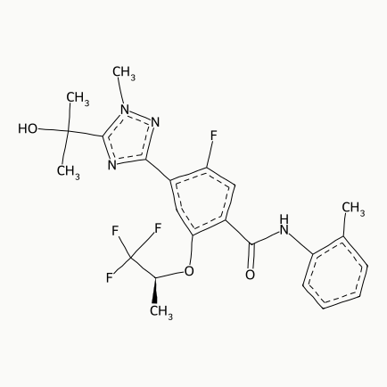 Cc1ccccc1NC(=O)c1cc(F)c(-c2nc(C(C)(C)O)n(C)n2)cc1O[C@@H](C)C(F)(F)F